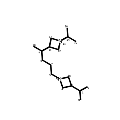 CC(C)C1CN(CCCC(C)C2CN(C(C)C)C2)C1